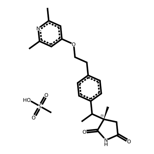 CS(=O)(=O)O.Cc1cc(OCCc2ccc(C(C)[C@]3(C)CC(=O)NC3=O)cc2)cc(C)n1